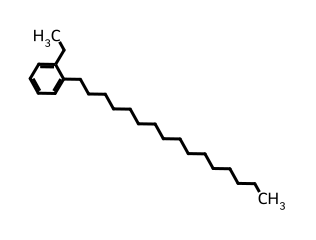 CCCCCCCCCCCCCCCCc1ccccc1CC